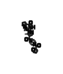 Cc1c(C(=O)N2CCN(C(=O)c3ccco3)CC2)cnn1-c1nn2cccc2c(=O)[nH]1